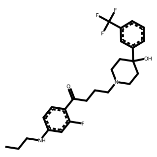 CCCNc1ccc(C(=O)CCCN2CCC(O)(c3cccc(C(F)(F)F)c3)CC2)c(F)c1